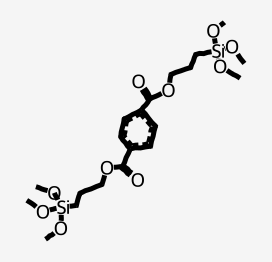 CO[Si](CCCOC(=O)c1ccc(C(=O)OCCC[Si](OC)(OC)OC)cc1)(OC)OC